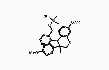 COc1ccc(C2(C)CSc3cc(OC)ccc3C2c2ccccc2CO[Si](C)(C)C(C)(C)C)cc1